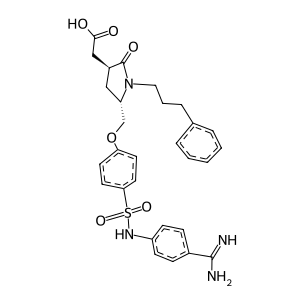 N=C(N)c1ccc(NS(=O)(=O)c2ccc(OC[C@@H]3C[C@@H](CC(=O)O)C(=O)N3CCCc3ccccc3)cc2)cc1